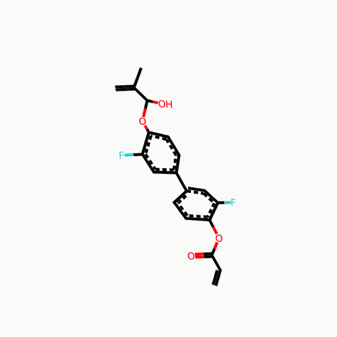 C=CC(=O)Oc1ccc(-c2ccc(OC(O)C(=C)C)c(F)c2)cc1F